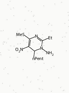 CCCCCC1C([N+](=O)[O-])=C(SC)N=C(CC)N1N